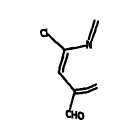 C=N/C(Cl)=C\C(=C)C=O